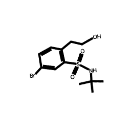 CC(C)(C)NS(=O)(=O)c1cc(Br)ccc1CCO